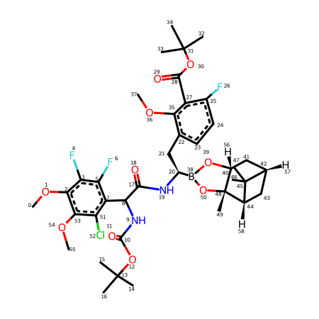 COc1c(F)c(F)c(C(NC(=O)OC(C)(C)C)C(=O)N[C@@H](Cc2ccc(F)c(C(=O)OC(C)(C)C)c2OC)B2O[C@@H]3C[C@@H]4C[C@@H](C4(C)C)[C@]3(C)O2)c(Cl)c1OC